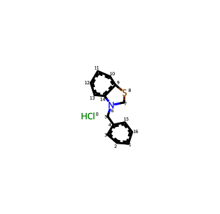 Cl.c1ccc(CN2CSc3ccccc32)cc1